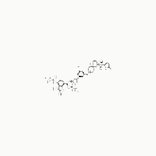 Cc1ccc(S(=O)(=O)N2CCOC3(CCN(Cc4cc(F)cc(CCNC[C@H](OC(=O)C(F)(F)F)c5ccc(OC(=O)C(F)(F)F)c6[nH]c(=O)sc56)c4)CC3)C2)s1